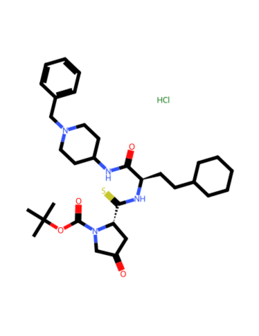 CC(C)(C)OC(=O)N1CC(=O)C[C@H]1C(=S)N[C@H](CCC1CCCCC1)C(=O)NC1CCN(Cc2ccccc2)CC1.Cl